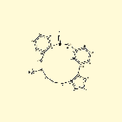 CC1CCCn2cnnc2-c2cccc(n2)NC(=O)c2ccccc2O1